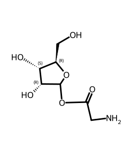 NCC(=O)OC1O[C@H](CO)[C@@H](O)[C@H]1O